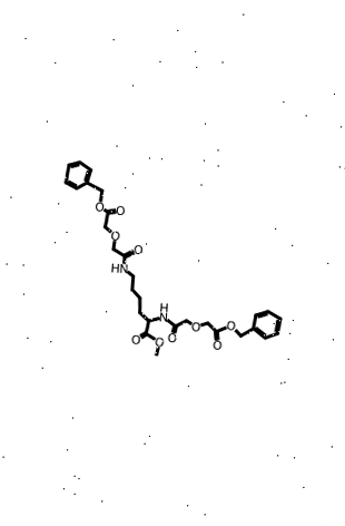 COC(=O)C(CCCCNC(=O)COCC(=O)OCc1ccccc1)NC(=O)COCC(=O)OCc1ccccc1